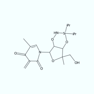 C=C1C(=O)C(C)=CN(C2OC(C)(CO)C3O[Si](C(C)C)(C(C)C)NOC23)C1=O